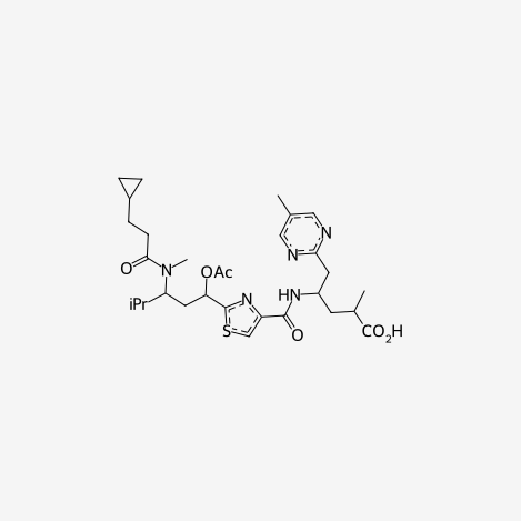 CC(=O)OC(CC(C(C)C)N(C)C(=O)CCC1CC1)c1nc(C(=O)NC(Cc2ncc(C)cn2)CC(C)C(=O)O)cs1